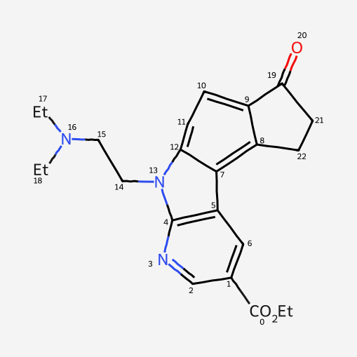 CCOC(=O)c1cnc2c(c1)c1c3c(ccc1n2CCN(CC)CC)C(=O)CC3